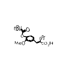 CCCCC(=O)Oc1ccc(/C=C(\CCC)C(=O)O)cc1OC